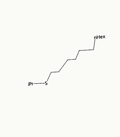 CCCCCCCCCCCCSC(C)C